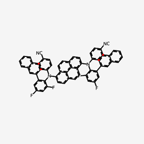 [C-]#[N+]c1ccc(N(c2c(F)cc(F)cc2-c2ccc3ccccc3c2)c2ccc3ccc4c(N(c5ccc(C#N)cc5)c5c(F)cc(F)cc5-c5ccc6ccccc6c5)ccc5ccc2c3c54)cc1